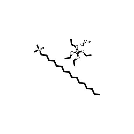 CCCCCCCCCCCCCCCC[N+](C)(C)C.CCO[Si](OCC)(OCC)OCC.[Cl-].[Mn]